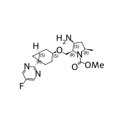 COC(=O)N1[C@H](C)C[C@H](N)[C@@H]1CO[C@H]1CC[C@@]2(c3ncc(F)cn3)C[C@H]2C1